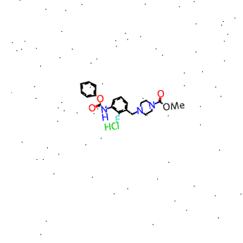 COC(=O)N1CCN(Cc2cccc(NC(=O)Oc3ccccc3)c2F)CC1.Cl